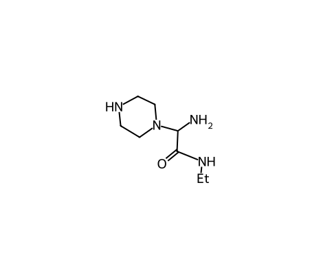 CCNC(=O)C(N)N1CCNCC1